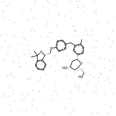 Cc1ccc([C@H]2C[C@@H](O)C[C@@H](CO)O2)cc1Cc1ccc(OC[C@H]2OC(C)(C)c3ccccc32)cc1